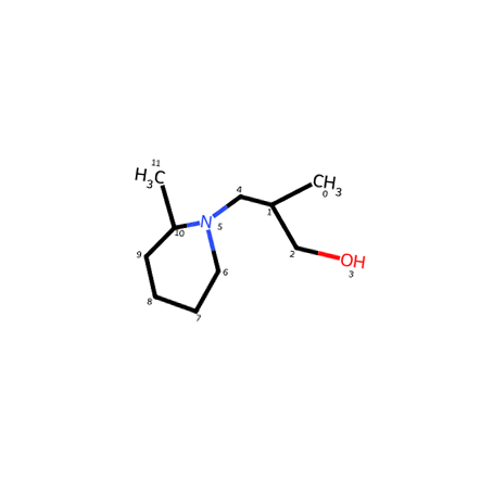 CC(CO)CN1CCCCC1C